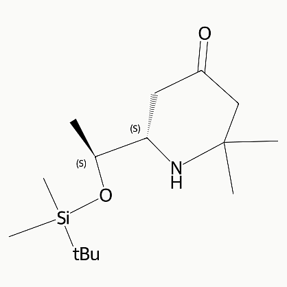 C[C@H](O[Si](C)(C)C(C)(C)C)[C@@H]1CC(=O)CC(C)(C)N1